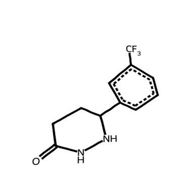 O=C1CCC(c2cccc(C(F)(F)F)c2)NN1